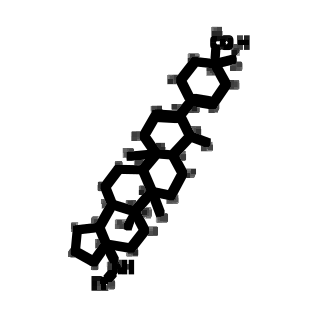 CCNC12CCCC1C1CCC3C4(C)CC=C(C5=CCC(C)(C(=O)O)CC5)C(C)C4CCC3(C)[C@]1(C)CC2